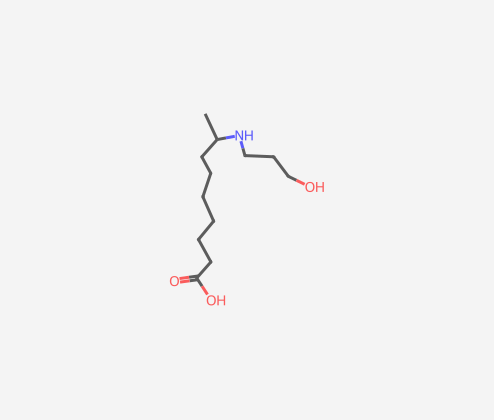 CC(CCCCCCC(=O)O)NCCCO